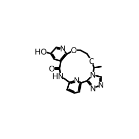 CC1CCCOc2ncc(O)cc2C(=O)Nc2cccc(n2)-c2nncn21